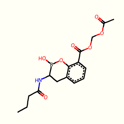 CCCC(=O)NC1Cc2cccc(C(=O)OCOC(C)=O)c2OB1O